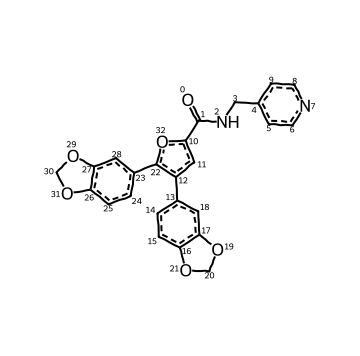 O=C(NCc1ccncc1)c1cc(-c2ccc3c(c2)OCO3)c(-c2ccc3c(c2)OCO3)o1